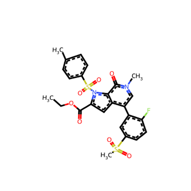 CCOC(=O)c1cc2c(-c3cc(S(C)(=O)=O)ccc3F)cn(C)c(=O)c2n1S(=O)(=O)c1ccc(C)cc1